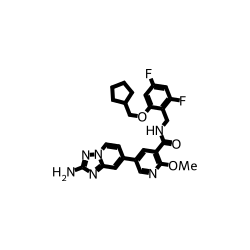 COc1ncc(-c2ccn3nc(N)nc3c2)cc1C(=O)NCc1c(F)cc(F)cc1OCC1CCCC1